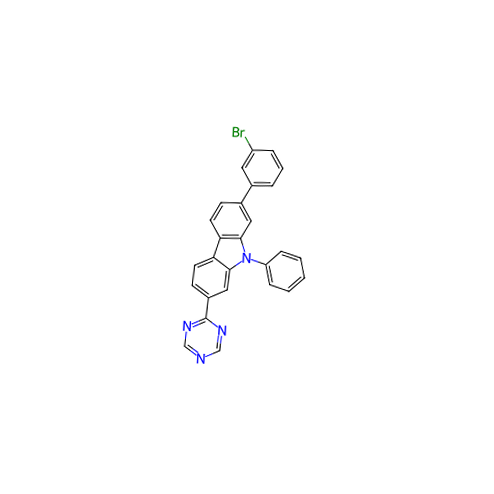 Brc1cccc(-c2ccc3c4ccc(-c5ncncn5)cc4n(-c4ccccc4)c3c2)c1